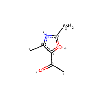 CC(=O)c1oc([AsH2])nc1C